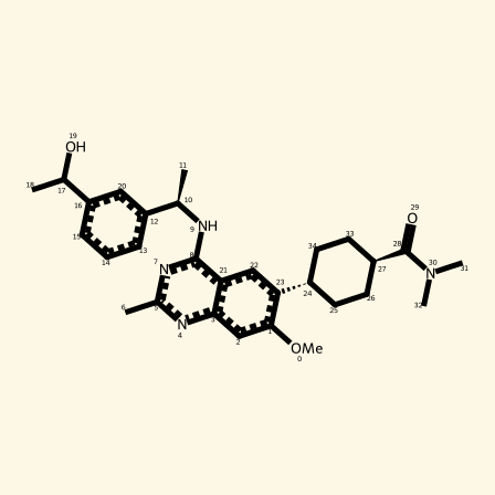 COc1cc2nc(C)nc(N[C@H](C)c3cccc(C(C)O)c3)c2cc1[C@H]1CC[C@H](C(=O)N(C)C)CC1